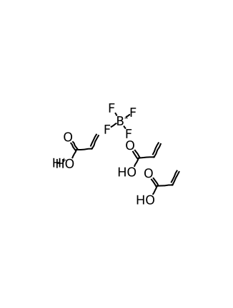 C=CC(=O)O.C=CC(=O)O.C=CC(=O)O.F[B-](F)(F)F.[H+]